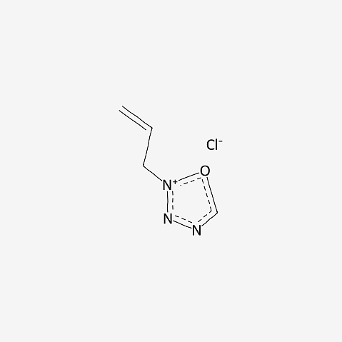 C=CC[n+]1nnco1.[Cl-]